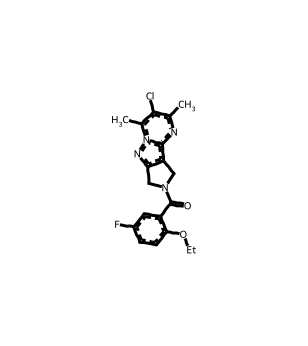 CCOc1ccc(F)cc1C(=O)N1Cc2nn3c(C)c(Cl)c(C)nc3c2C1